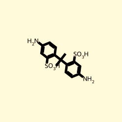 CC(C)(c1ccc(N)cc1S(=O)(=O)O)c1ccc(N)cc1S(=O)(=O)O